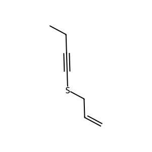 C=CCSC#CCC